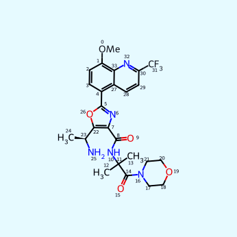 COc1ccc(-c2nc(C(=O)NC(C)(C)C(=O)N3CCOCC3)c([C@H](C)N)o2)c2ccc(C(F)(F)F)nc12